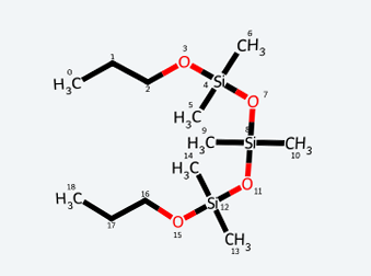 CCCO[Si](C)(C)O[Si](C)(C)O[Si](C)(C)OCCC